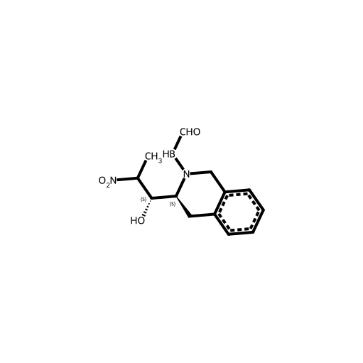 CC([C@@H](O)[C@@H]1Cc2ccccc2CN1BC=O)[N+](=O)[O-]